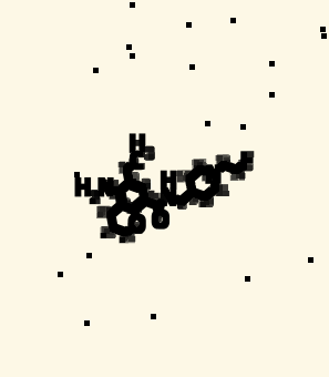 CCc1cc(C(=O)NCC2CCN(CCF)CC2)c2c(c1N)CCCO2